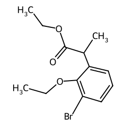 CCOC(=O)C(C)c1cccc(Br)c1OCC